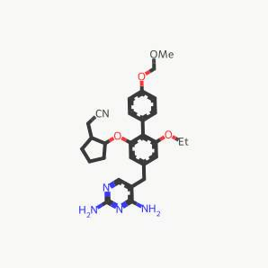 CCOc1cc(Cc2cnc(N)nc2N)cc(OC2CCCC2CC#N)c1-c1ccc(OCOC)cc1